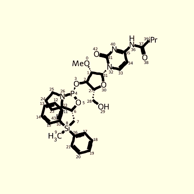 CO[C@H]1C(O[P@]2O[C@H](C[Si](C)(c3ccccc3)c3ccccc3)[C@@H]3CCCN32)[C@@H](CO)O[C@H]1n1ccc(NC(=O)C(C)C)nc1=O